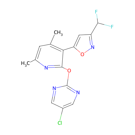 Cc1cc(C)c(-c2cc(C(F)F)no2)c(Oc2ncc(Cl)cn2)n1